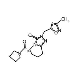 Cc1cc(Cn2nc3n(c2=O)[C@@H](C(=O)N2CCCC2)CCC3)on1